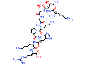 N=C(N)NCC/C=C(\NC(=O)[C@H](CCCCN)NC(=O)[C@H](Cc1cnc[nH]1)NC(=O)[C@@H]1CCCN1C(=O)[C@@H](CCCN)NC(=O)CNC(=O)[C@H](CO)NC(=O)[C@@H](NC(=O)[C@@H](N)CCCCN)[C@@H](O)CN)C(=O)O